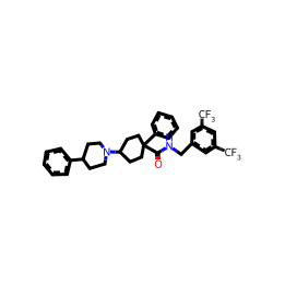 O=C(NCc1cc(C(F)(F)F)cc(C(F)(F)F)c1)C1(c2ccccc2)CCC(N2CCC(c3ccccc3)CC2)CC1